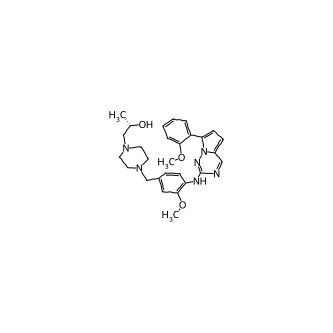 COc1cc(CN2CCN(C[C@H](C)O)CC2)ccc1Nc1ncc2ccc(-c3ccccc3OC)n2n1